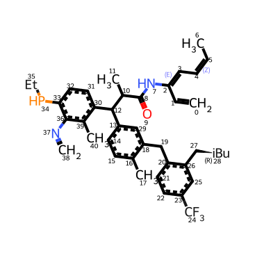 C=C/C(=C\C=C/C)NC(=O)C(C)C(c1ccc(C)c(Cc2ccc(C(F)(F)F)cc2C[C@H](C)CC)c1)c1ccc(PCC)c(N=C)c1C